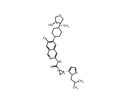 CC(C)Cn1nccc1[C@@H]1C[C@H]1C(=O)Nc1cc2cc(N3CCN([C@]4(C)COC[C@@H]4O)CC3)c(Cl)cc2cn1